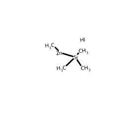 I.[CH3][Zn][Si](C)(C)C